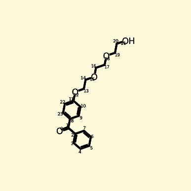 O=C(c1ccccc1)c1ccc(OCCOCCOCCO)cc1